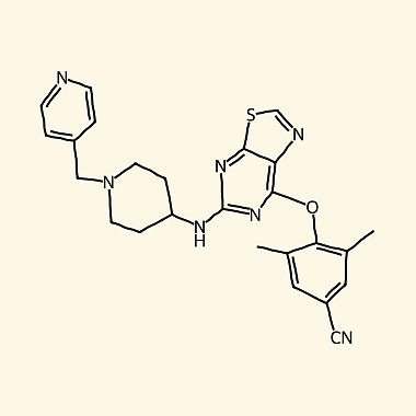 Cc1cc(C#N)cc(C)c1Oc1nc(NC2CCN(Cc3ccncc3)CC2)nc2scnc12